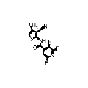 Cc1csc(NC(=O)c2cc(F)nc(F)c2F)c1C#N